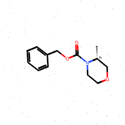 C[C@@H]1COCCN1C(=O)OCc1ccccc1